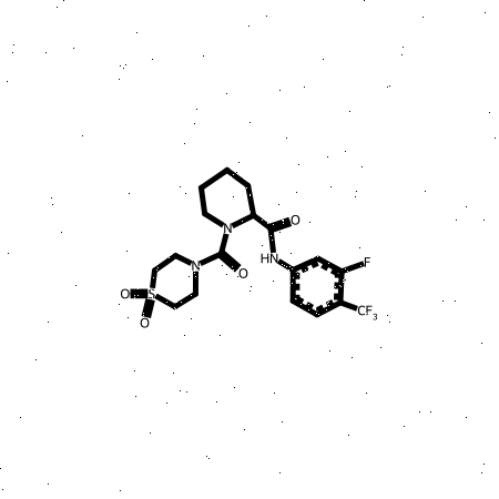 O=C(Nc1ccc(C(F)(F)F)c(F)c1)C1CCCCN1C(=O)N1CCS(=O)(=O)CC1